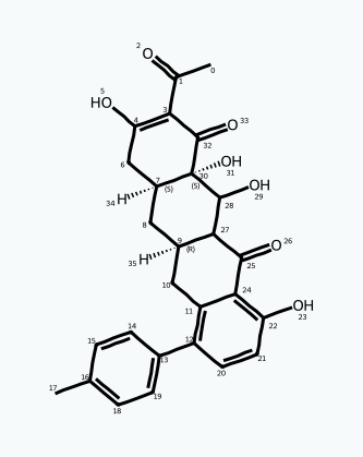 CC(=O)C1=C(O)C[C@@H]2C[C@@H]3Cc4c(-c5ccc(C)cc5)ccc(O)c4C(=O)C3C(O)[C@]2(O)C1=O